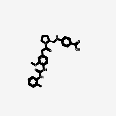 COc1cc(CC(=O)N2CCC[C@H]2CNc2ccc(C(=O)O)cc2)ccc1NC(=O)Nc1ccccc1C